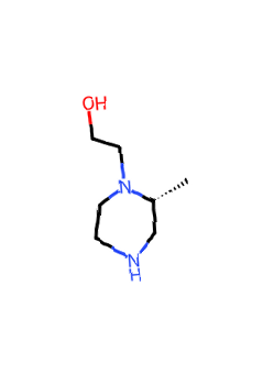 C[C@@H]1CNCCN1CCO